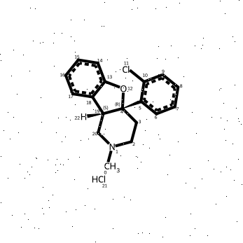 CN1CC[C@@]2(c3ccccc3Cl)Oc3ccccc3[C@H]2C1.Cl